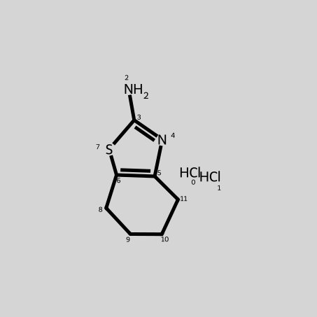 Cl.Cl.Nc1nc2c(s1)CCCC2